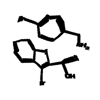 NCc1ccc(Br)cc1.OC(=S)c1sc2ccccc2c1Br